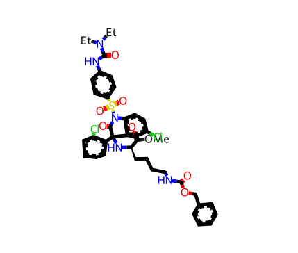 CCN(CC)C(=O)Nc1ccc(S(=O)(=O)N2C(=O)C(N[C@H](CCCCNC(=O)OCc3ccccc3)C(=O)OC)(c3ccccc3Cl)c3cc(Cl)ccc32)cc1